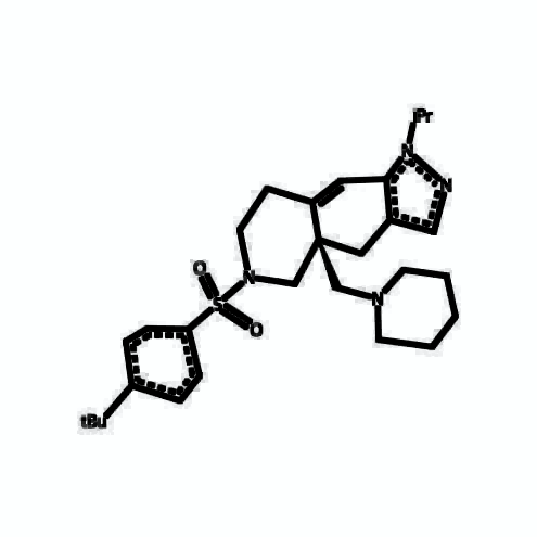 CC(C)n1ncc2c1C=C1CCN(S(=O)(=O)c3ccc(C(C)(C)C)cc3)C[C@@]1(CN1CCCCC1)C2